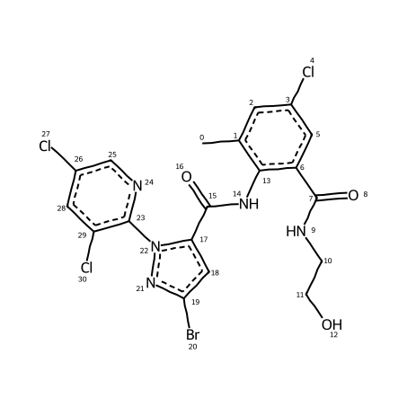 Cc1cc(Cl)cc(C(=O)NCCO)c1NC(=O)c1cc(Br)nn1-c1ncc(Cl)cc1Cl